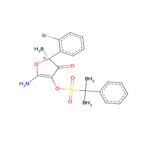 BC(B)(c1ccccc1)S(=O)(=O)OC1=C(N)O[C@@](B)(c2ccccc2Br)C1=O